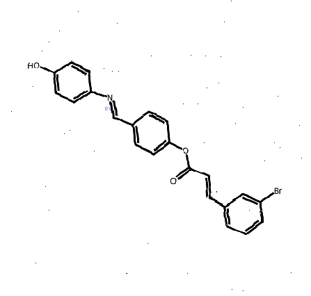 O=C(C=Cc1cccc(Br)c1)Oc1ccc(/C=N/c2ccc(O)cc2)cc1